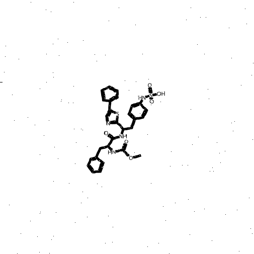 COC(=O)NC(Cc1ccccc1)C(=O)NC(Cc1ccc(NS(=O)(=O)O)cc1)c1ncc(-c2ccccc2)s1